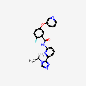 CC(C)n1cnnc1-c1cccc(NC(=O)c2cc(Oc3cccnc3)ccc2F)n1